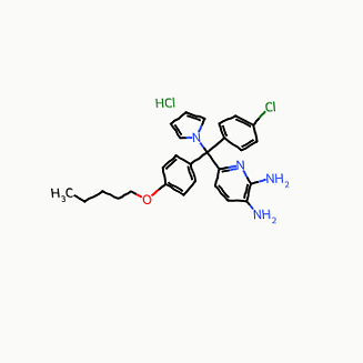 CCCCCOc1ccc(C(c2ccc(Cl)cc2)(c2ccc(N)c(N)n2)n2cccc2)cc1.Cl